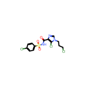 O=C(NS(=O)(=O)c1ccc(Cl)cc1)c1ncn(CCCCl)c1Cl